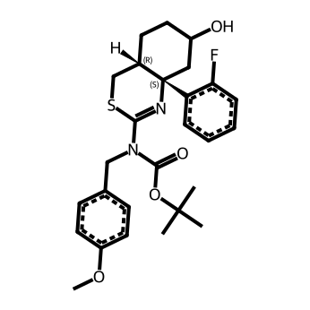 COc1ccc(CN(C(=O)OC(C)(C)C)C2=N[C@@]3(c4ccccc4F)CC(O)CC[C@H]3CS2)cc1